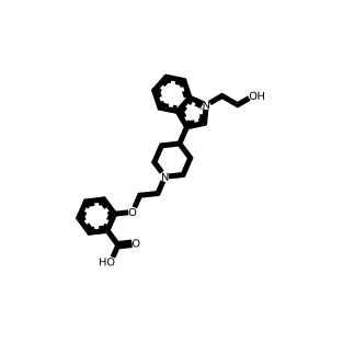 O=C(O)c1ccccc1OCCN1CCC(c2cn(CCO)c3ccccc23)CC1